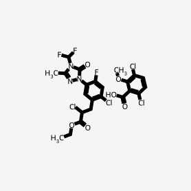 CCOC(=O)C(Cl)Cc1cc(-n2nc(C)n(C(F)F)c2=O)c(F)cc1Cl.COc1c(Cl)ccc(Cl)c1C(=O)O